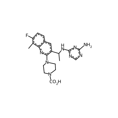 Cc1c(F)ccc2cc(C(C)Nc3ncnc(N)n3)c(N3CCN(C(=O)O)CC3)nc12